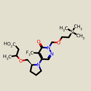 CC(CC(=O)O)OC[C@@H]1CCCN1c1cnn(COCC[Si](C)(C)C)c(=O)c1C(F)(F)F